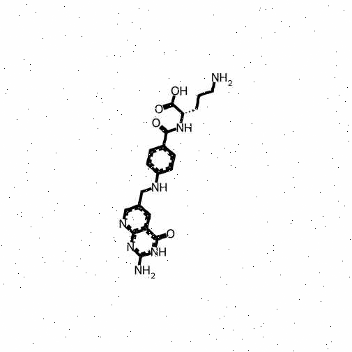 NCCC[C@H](NC(=O)c1ccc(NCc2cnc3nc(N)[nH]c(=O)c3c2)cc1)C(=O)O